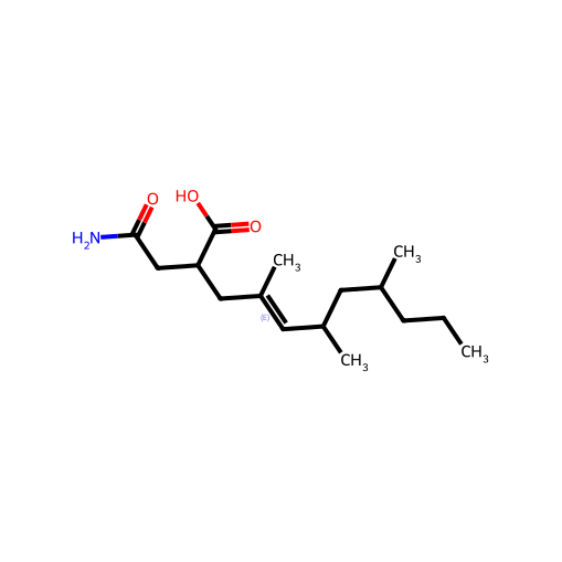 CCCC(C)CC(C)/C=C(\C)CC(CC(N)=O)C(=O)O